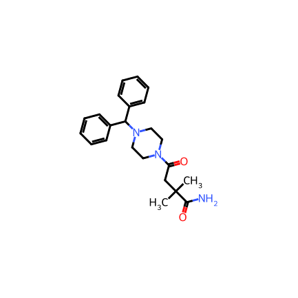 CC(C)(CC(=O)N1CCN(C(c2ccccc2)c2ccccc2)CC1)C(N)=O